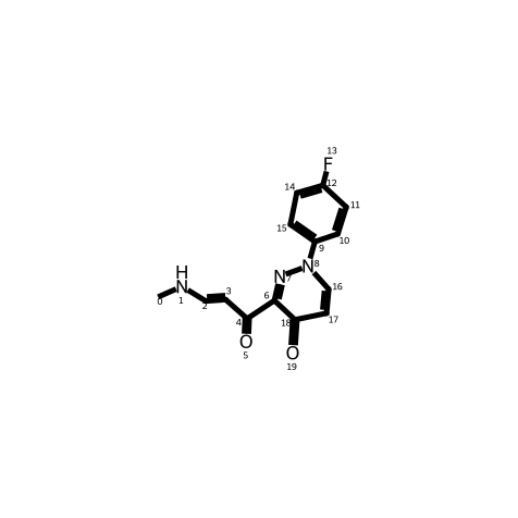 CN/C=C/C(=O)c1nn(-c2ccc(F)cc2)ccc1=O